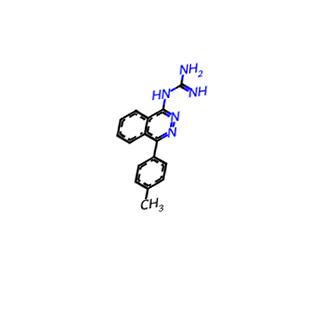 Cc1ccc(-c2nnc(NC(=N)N)c3ccccc23)cc1